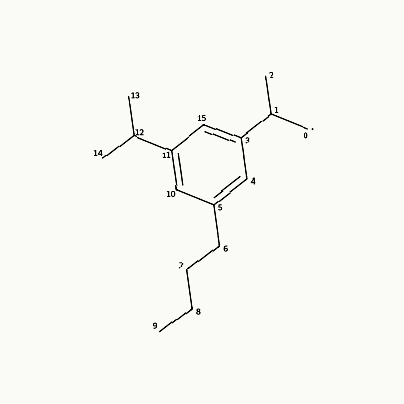 [CH2]C(C)c1cc(CCCC)cc(C(C)C)c1